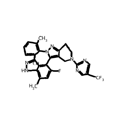 Cc1cccc(C)c1-n1nc2c(c1-c1c(F)cc(C)c3[nH]ncc13)CN(c1ncc(C(F)(F)F)cn1)CC2